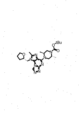 Cc1nc2c(N3C[C@@H](C)N(C(=O)OC(C)(C)C)C[C@@H]3C)nc3nncn3c2n1C[C@@H]1CCCO1